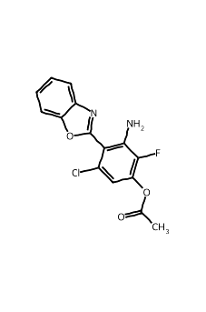 CC(=O)Oc1cc(Cl)c(-c2nc3ccccc3o2)c(N)c1F